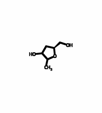 CC1O[C@H](CO)CC1O